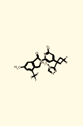 [CH2]c1cc2c(c(C(F)(F)F)c1)CN(c1cc(C3(c4nncn4C)CC(F)(F)C3)cc(Cl)n1)C2=O